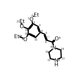 CCOc1cc(/C=C/C(=O)N2CCNCC2)cc(OCC)c1OCC